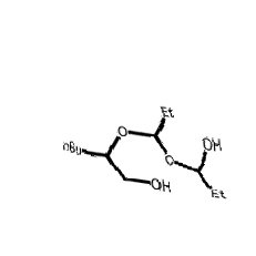 CCCCC(CO)OC(CC)OC(O)CC